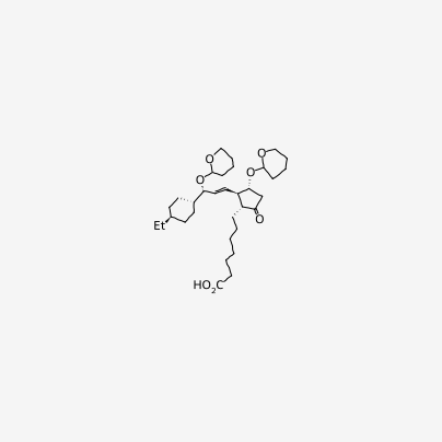 CC[C@H]1CC[C@H]([C@@H](C=C[C@H]2[C@H](OC3CCCCO3)CC(=O)[C@@H]2CCCCCCC(=O)O)OC2CCCCO2)CC1